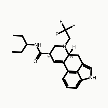 CCC(CC)NC(=O)[C@@H]1C=C2c3cccc4[nH]cc(c34)C[C@H]2N(CC(F)(F)F)C1